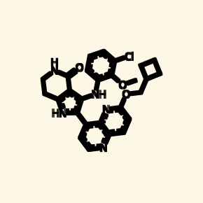 COc1c(Cl)cccc1Nc1c(-c2ccnc3ccc(OCC4CCC4)nc23)[nH]c2c1C(=O)NCC2